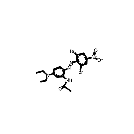 CCN(CC)c1ccc(N=Nc2c(Br)cc([N+](=O)[O-])cc2Br)c(NC(C)=O)c1